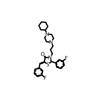 O=C1C(=Cc2cccc(F)c2)SC(c2cccc(F)c2)N1CCCN1CCN(C2CCCCC2)CC1